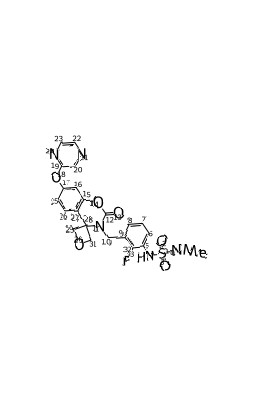 CNS(=O)(=O)Nc1cccc(CN2C(=O)Oc3cc(Oc4cnccn4)ccc3C23COC3)c1F